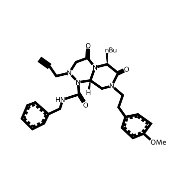 C#CCN1CC(=O)N2[C@@H](CCCC)C(=O)N(CCc3ccc(OC)cc3)C[C@@H]2N1C(=O)NCc1ccccc1